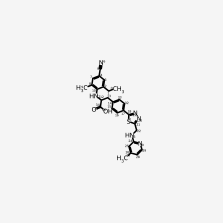 CCc1cc(C#N)cc(C)c1NC(Cc1ccc(-c2nnc(CNc3cc(C)ccn3)s2)cc1)C(=O)O